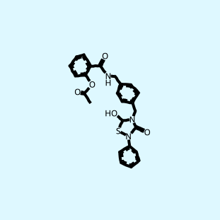 CC(=O)Oc1ccccc1C(=O)NCc1ccc(CN2C(=O)N(c3ccccc3)SC2O)cc1